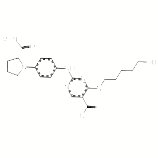 CNC(=O)[C@H]1CCCN1c1ccc(Nc2ncc(C(N)=O)c(NCCCCCO)n2)cc1